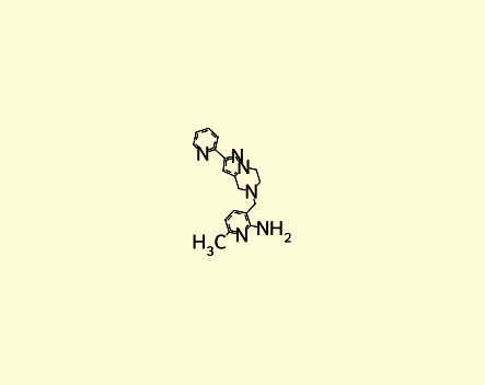 Cc1ccc(CN2CCn3nc(-c4ccccn4)cc3C2)c(N)n1